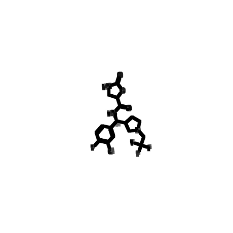 O=C1NCC(C(=O)N[C@H](c2ccc(F)c(Cl)c2)C2CCN(CC(F)(F)F)C2)O1